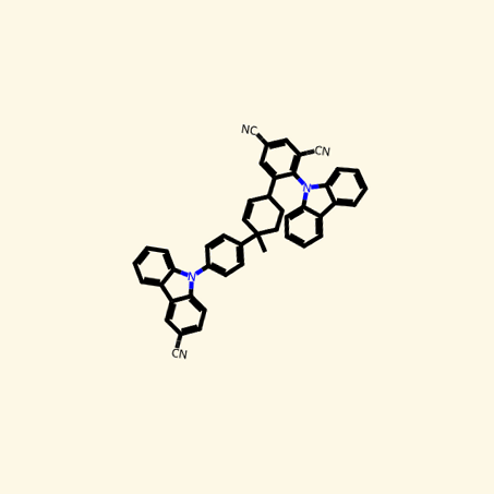 CC1(c2ccc(-n3c4ccccc4c4cc(C#N)ccc43)cc2)C=CC(c2cc(C#N)cc(C#N)c2-n2c3ccccc3c3ccccc32)CC1